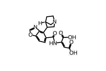 O=C(O)/C=C(/NC(=O)c1ccc2ocnc2c1C1CN2CC[C@@H]1C2)C(=O)O